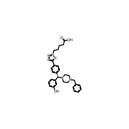 O=C(O)CCCCn1nnc(-c2ccc([C@H](c3cccc(O)c3)N3CCN(Cc4ccccc4)CC3)cc2)n1